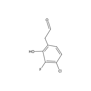 O=CCc1ccc(Cl)c(F)c1O